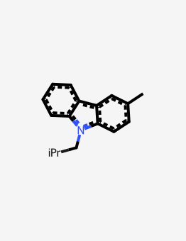 Cc1ccc2c(c1)c1ccccc1n2CC(C)C